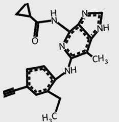 CCc1cc(C#N)ccc1Nc1nc(NC(=O)C2CC2)c2nc[nH]c2c1C